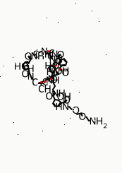 CC1CCN(CCNC(=O)C2C=CC=C(C(=O)NCCOCCOCCN)C2O)CCNC(=O)c2cccc(c2O)C(=O)NCCN2CCNC(=O)C3=CC=CC(C(=O)NCCC1CCNC(=O)c1cccc(c1O)C(=O)NCC2)C3O